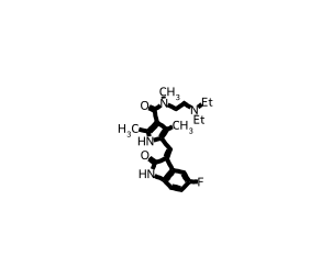 CCN(CC)CCN(C)C(=O)c1c(C)[nH]c(C=C2C(=O)Nc3ccc(F)cc32)c1C